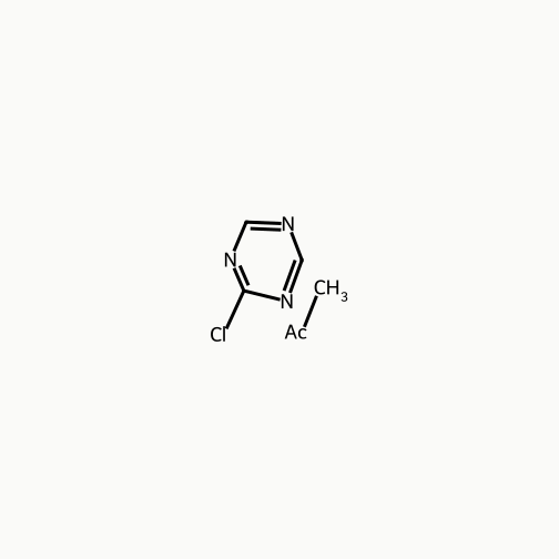 CC(C)=O.Clc1ncncn1